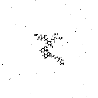 O=C(O)[C@H](CO)NCc1cc(Cl)c(OCc2cccc(-c3cccc4c3cnn4CCCCN3CC[C@@H](O)C3)c2Br)cc1OCC(=O)N1CC[C@@H](O)C1